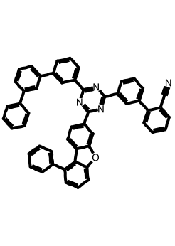 N#Cc1ccccc1-c1cccc(-c2nc(-c3cccc(-c4cccc(-c5ccccc5)c4)c3)nc(-c3ccc4c(c3)oc3cccc(-c5ccccc5)c34)n2)c1